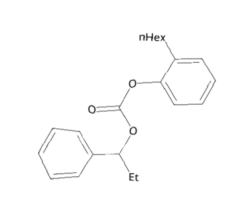 CCCCCCc1ccccc1OC(=O)OC(CC)c1ccccc1